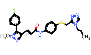 CCCn1cnnc1CSc1ccc(NC(=O)/C=C/c2cnn(C)c2-c2ccc(F)cc2)cc1